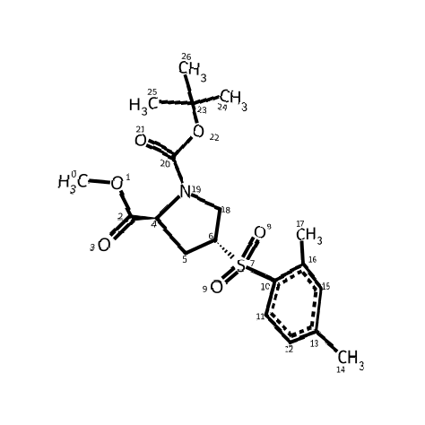 COC(=O)[C@@H]1C[C@@H](S(=O)(=O)c2ccc(C)cc2C)CN1C(=O)OC(C)(C)C